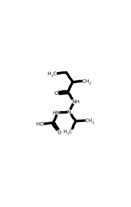 CCC(C)C(=O)NN(NC(=O)O)C(C)C